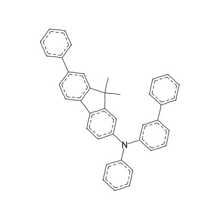 CC1(C)c2cc(-c3ccccc3)ccc2-c2ccc(N(c3ccccc3)c3cccc(-c4ccccc4)c3)cc21